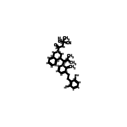 C=C1C(CCc2c(F)cccc2F)=CC=CN1C(=C(C)C)C1CN(C(=O)CC(C)(C)C#N)Cc2ccccc21